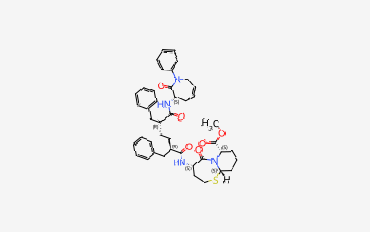 COC(=O)[C@@H]1CCC[C@@H]2SCC[C@H](NC(=O)[C@H](CC[C@H](Cc3ccccc3)C(=O)N[C@H]3CC=CCN(c4ccccc4)C3=O)Cc3ccccc3)C(=O)N21